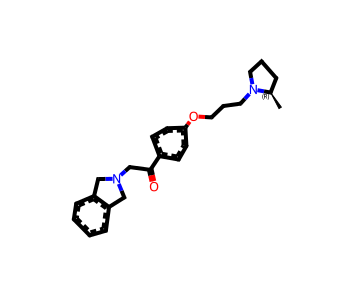 C[C@@H]1CCCN1CCCOc1ccc(C(=O)CN2Cc3ccccc3C2)cc1